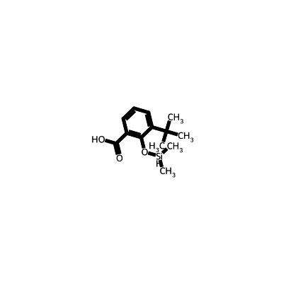 C[SiH](C)Oc1c(C(=O)O)cccc1C(C)(C)C